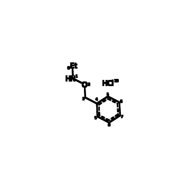 CCNOCc1ccccc1.Cl